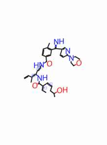 C=C/C(C)=C(\C=C\NC(=O)c1ccc(C)c(C(=N)c2ccc(N3CCOCC3)nc2)c1)NC(=O)C(/C=C\CC(C)O)=C/C